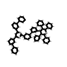 c1ccc(-c2cccc(-c3cc(-c4cccc(-c5ccccc5)c4)nc(-c4cccc(-c5cccc(-c6c(-c7ccccc7)c(-c7ccccc7)nc(-c7ccccc7)c6-c6ccccc6)c5)c4)n3)c2)cc1